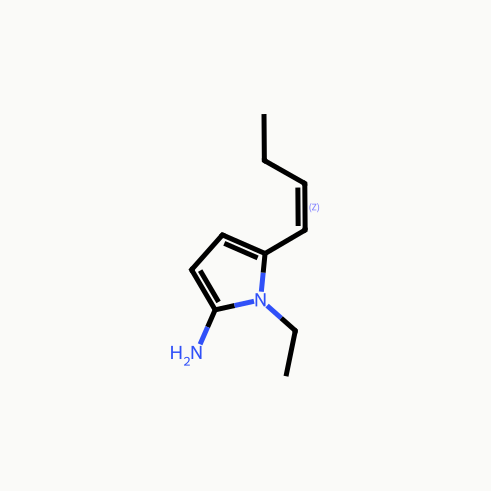 CC/C=C\c1ccc(N)n1CC